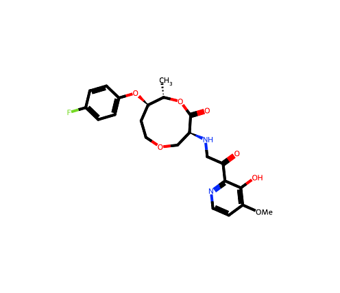 COc1ccnc(C(=O)CN[C@H]2COCC[C@@H](Oc3ccc(F)cc3)[C@H](C)OC2=O)c1O